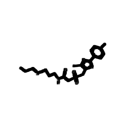 CCCSCCCNC(=O)CS(=O)(=O)Cc1nc(-c2ccc(C)cc2)oc1C